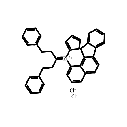 C1=CC[C]([Zr+2](=[C](CCc2ccccc2)CCc2ccccc2)[c]2cccc3ccc4c(c23)Cc2ccccc2-4)=C1.[Cl-].[Cl-]